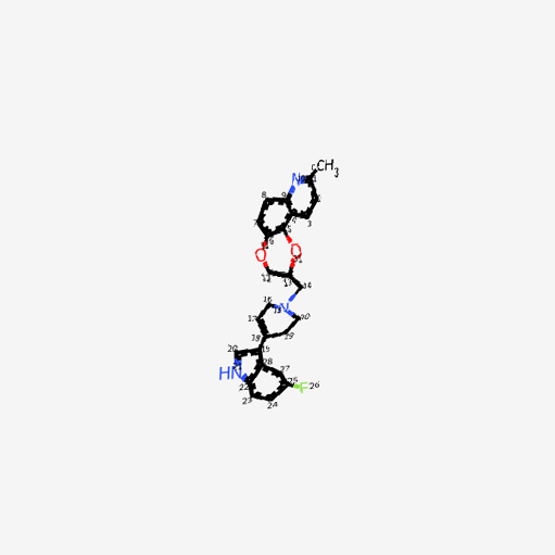 Cc1ccc2c3c(ccc2n1)OCC(CN1CC=C(c2c[nH]c4ccc(F)cc24)CC1)O3